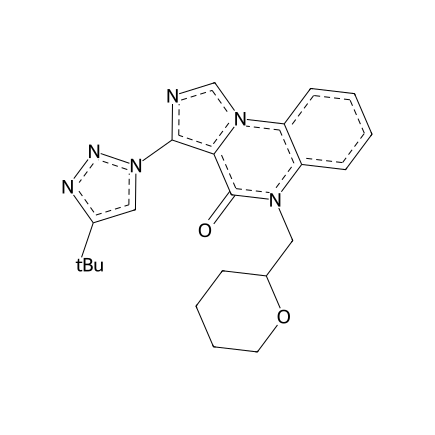 CC(C)(C)c1cn(-c2ncn3c2c(=O)n(CC2CCCCO2)c2ccccc23)nn1